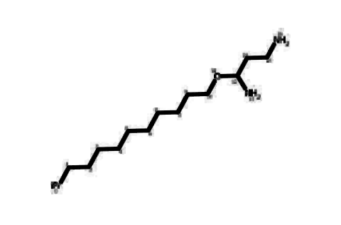 CC(C)CCCCCCCCCCOC(N)CCN